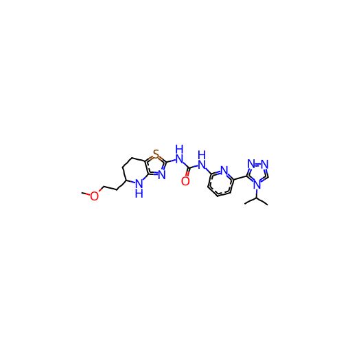 COCCC1CCc2sc(NC(=O)Nc3cccc(-c4nncn4C(C)C)n3)nc2N1